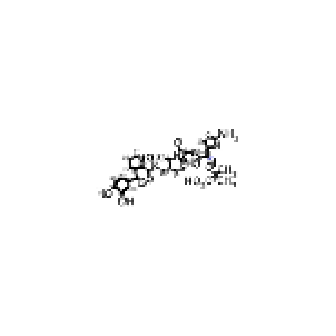 CC(C)(O/N=C(\C(=O)NC1C(=O)N2C(C(=O)O)=C(CNC(=O)c3ncccc3C(=O)c3ccc(O)c(O)c3)CS[C@@H]12)c1csc(N)n1)C(=O)O